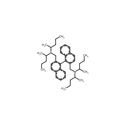 CCCC(C)N(Cc1ccc2ccccc2c1-c1c(CN(C(C)CCC)C(C)CCC)ccc2ccccc12)C(C)CCC